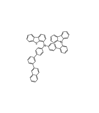 c1cc(-c2ccc(N(c3ccc(-c4ccccc4-n4c5ccccc5c5ccccc54)cc3)c3cccc4c3sc3ccccc34)cc2)cc(-c2ccc3ccccc3c2)c1